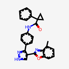 Cc1cccc2oc(-c3c[nH]nc3-c3ccc(NC(=O)C4(c5ccccc5)CC4)cc3)nc12